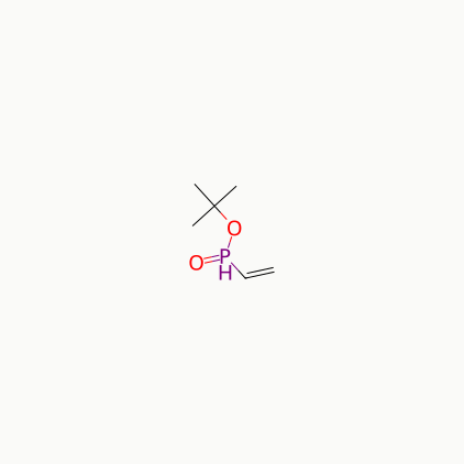 C=C[PH](=O)OC(C)(C)C